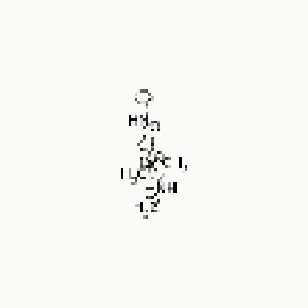 C=CC(=O)NC1CC(C)N(S(=O)(=O)c2ccc(CC(=O)NCc3ccccc3)cc2)C(C)C1